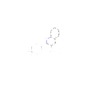 OB(O)c1cc2ccccc2nc1C1CCC(F)(F)CC1